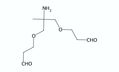 CC(N)(COCCC=O)COCCC=O